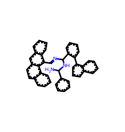 NC(NC(/N=C/c1c2ccccc2cc2ccc3ccccc3c12)c1ccccc1-c1cccc2ccccc12)c1ccccc1